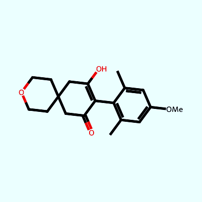 COc1cc(C)c(C2=C(O)CC3(CCOCC3)CC2=O)c(C)c1